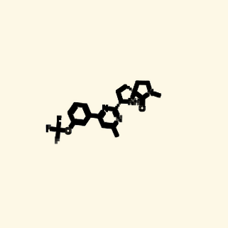 Cc1cc(-c2cccc(OC(F)(F)F)c2)nc([C@@H]2CC[C@@]3(CCN(C)C3=O)N2)n1